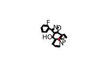 OC(c1cccnc1)c1c(-c2ccccc2F)noc1-c1ccsc1